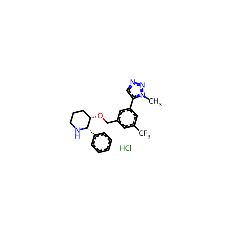 Cl.Cn1nncc1-c1cc(CO[C@H]2CCCN[C@H]2c2ccccc2)cc(C(F)(F)F)c1